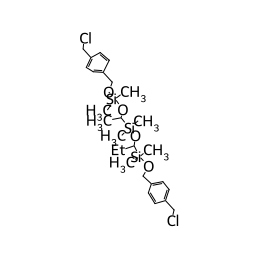 CCC(O[Si](C)(C)C(C)O[Si](C)(C)OCc1ccc(CCl)cc1)[Si](C)(C)OCc1ccc(CCl)cc1